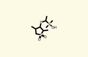 CC1CS(=O)(=O)C(C)C1OC(C)[Si](C)(C)O